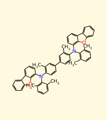 Cc1cc(-c2ccc(N(c3c(C)cccc3C)c3cccc4c3oc3ccccc34)c(C)c2)ccc1N(c1c(C)cccc1C)c1cccc2c1oc1ccccc12